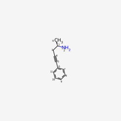 C[C@@H](N)CC#Cc1ccccc1